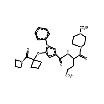 CCOC(=O)N1CCN(C(=O)C(CCC(=O)O)NC(=O)c2cc(OC3(C(=O)N4CCC4)CCC3)n(-c3ccccc3)n2)CC1